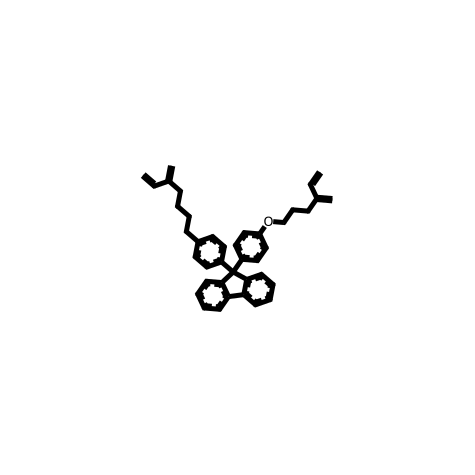 C=CC(=C)CCCCc1ccc(C2(c3ccc(OCCCC(=C)C=C)cc3)c3ccccc3-c3ccccc32)cc1